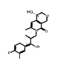 CCC/C(=C1\C=C(C)C(F)=CC1)C(C)Cn1c(C)cc2c(c1=O)COC[C@H]2O